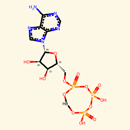 Nc1ncnc2c1ncn2[C@@H]1O[C@H](COP2(=O)OBOP(=O)(O)OP(=O)(O)O2)[C@@H](O)[C@H]1O